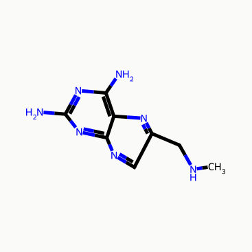 CNCc1cnc2nc(N)nc(N)c2n1